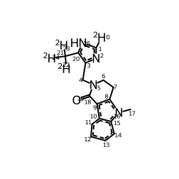 [2H]c1nc(CN2CCc3c(c4ccccc4n3C)C2=O)c(C([2H])([2H])[2H])[nH]1